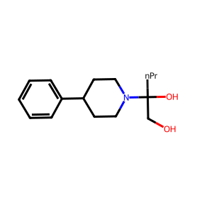 CCCC(O)(CO)N1CCC(c2ccccc2)CC1